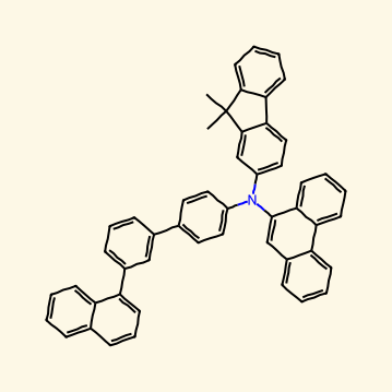 CC1(C)c2ccccc2-c2ccc(N(c3ccc(-c4cccc(-c5cccc6ccccc56)c4)cc3)c3cc4ccccc4c4ccccc34)cc21